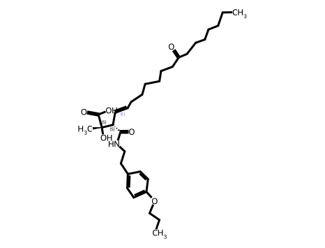 CCCCCCCC(=O)CCCCCC/C=C/[C@H](C(=O)NCCc1ccc(OCCC)cc1)[C@](C)(O)C(=O)O